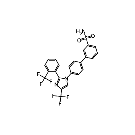 NS(=O)(=O)c1cccc(-c2ccc(-n3cc(C(F)(F)F)nc3-c3ccccc3C(F)(F)F)cc2)c1